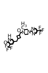 C[C@H]1CN(c2ncc(C(F)(F)F)cn2)CCN1C(=O)C1CC(Cc2c[nH]c(=O)c(C(F)(F)F)c2)C1